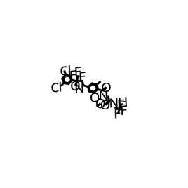 COC(=O)N(CC(=O)NCC(F)(F)F)C(=O)c1ccc(C2=NOC(c3cc(Cl)cc(Cl)c3)(C(F)(F)F)C2)cc1C